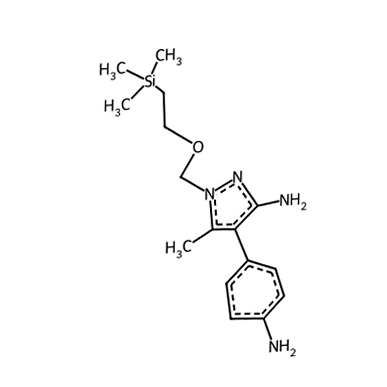 Cc1c(-c2ccc(N)cc2)c(N)nn1COCC[Si](C)(C)C